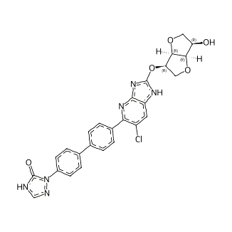 O=c1[nH]cnn1-c1ccc(-c2ccc(-c3nc4nc(O[C@@H]5CO[C@H]6[C@@H]5OC[C@H]6O)[nH]c4cc3Cl)cc2)cc1